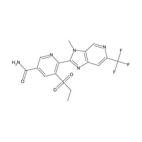 CCS(=O)(=O)c1cc(C(N)=O)cnc1-c1nc2cc(C(F)(F)F)ncc2n1C